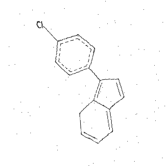 Clc1ccc(C2=C3CC=CC=C3C=C2)cc1